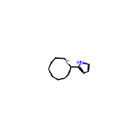 c1c[nH]c(C2CCCCCCCCC2)c1